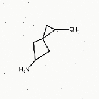 CC1CC12CC(N)C2